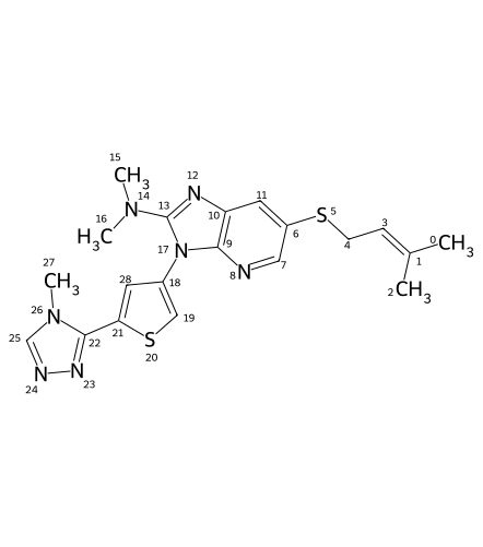 CC(C)=CCSc1cnc2c(c1)nc(N(C)C)n2-c1csc(-c2nncn2C)c1